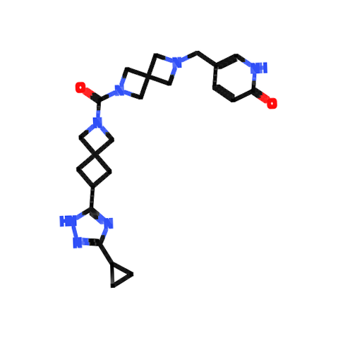 O=C(N1CC2(CC(c3nc(C4CC4)n[nH]3)C2)C1)N1CC2(CN(Cc3ccc(=O)[nH]c3)C2)C1